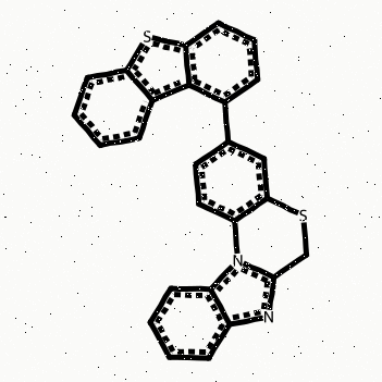 c1ccc2c(c1)nc1n2-c2ccc(-c3cccc4sc5ccccc5c34)cc2SC1